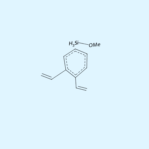 C=Cc1ccccc1C=C.CO[SiH3]